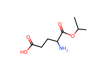 CC(C)OC(=O)C(N)CCC(=O)O